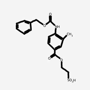 Cc1cc(C(=O)OCCS(=O)(=O)O)ccc1NC(=O)OCc1ccccc1